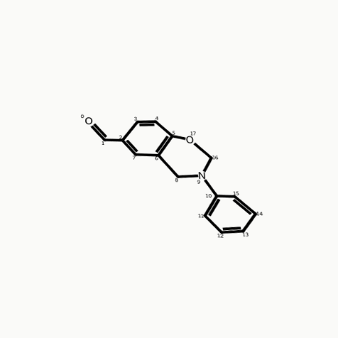 O=Cc1ccc2c(c1)CN(c1ccccc1)CO2